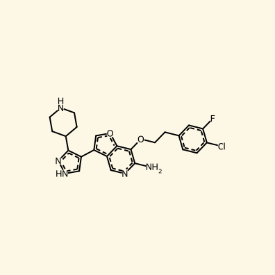 Nc1ncc2c(-c3c[nH]nc3C3CCNCC3)coc2c1OCCc1ccc(Cl)c(F)c1